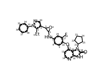 CCc1c(C2OC2Nc2ccc(Oc3ccnc4[nH]c(=O)n(C5CCCC5)c34)c(F)c2)cnn1-c1ccccc1